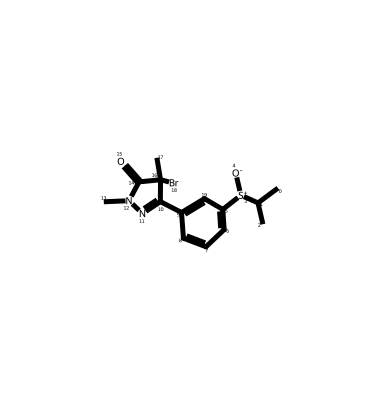 CC(C)[S+]([O-])c1cccc(C2=NN(C)C(=O)C2(C)Br)c1